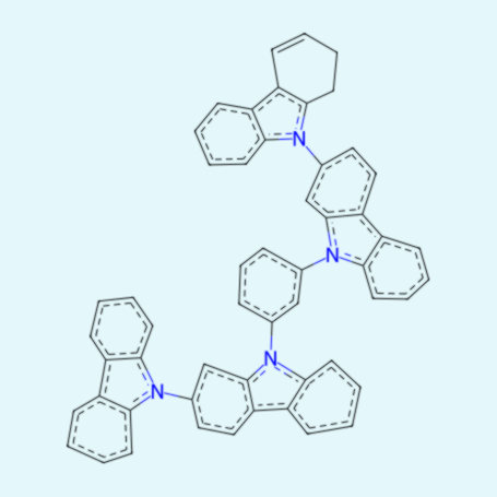 C1=Cc2c(n(-c3ccc4c5ccccc5n(-c5cccc(-n6c7ccccc7c7ccc(-n8c9ccccc9c9ccccc98)cc76)c5)c4c3)c3ccccc23)CC1